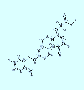 CCC(=O)C(C)(C)OC(=O)N1CCc2cc(OCc3nc(C)ccc3OC)ccc2[C@@H]1C(=O)OC